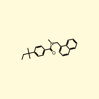 CCC(C)(C)c1ccc(C(=O)N(C)Cc2cccc3ccccc23)cc1